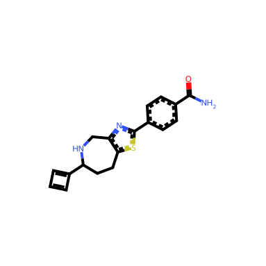 NC(=O)c1ccc(-c2nc3c(s2)CCC(C2=CC=C2)NC3)cc1